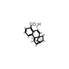 O=C(O)c1cccc2c1C=CC13CCC(=CC=C21)C3